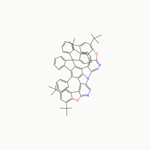 CC(C)(C)c1cc(C(C)(C)C)c2oc3ncc4c(c5c(-c6ccccc6)c6c(c7c8c9c(ncc8n4c57)oc4c(C(C)(C)C)cc(C(C)(C)C)cc49)C4(c5ccccc5-c5ccccc54)c4ccccc4-6)c3c2c1